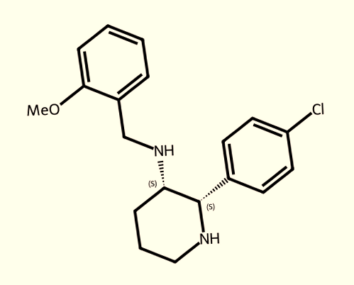 COc1ccccc1CN[C@H]1CCCN[C@H]1c1ccc(Cl)cc1